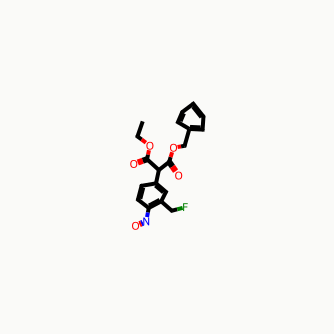 CCOC(=O)C(C(=O)OCc1ccccc1)c1ccc(N=O)c(CF)c1